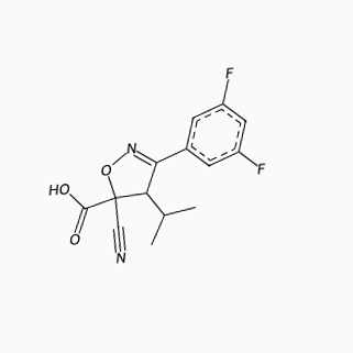 CC(C)C1C(c2cc(F)cc(F)c2)=NOC1(C#N)C(=O)O